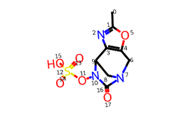 Cc1nc2c(o1)CN1CC2N(OS(=O)(=O)O)C1=O